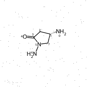 N[C@H]1CC(=O)N(N)C1